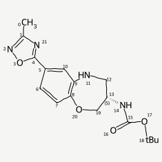 Cc1noc(-c2ccc3c(c2)NC[C@H](NC(=O)OC(C)(C)C)CO3)n1